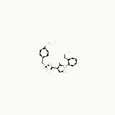 CCc1ccccc1-n1ncc(-c2nnn(Cc3ccc(OC)cc3)n2)c1I